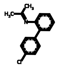 CC(C)=Nc1ccccc1-c1ccc(Cl)cc1